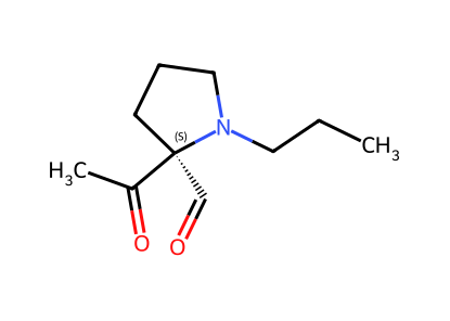 CCCN1CCC[C@]1(C=O)C(C)=O